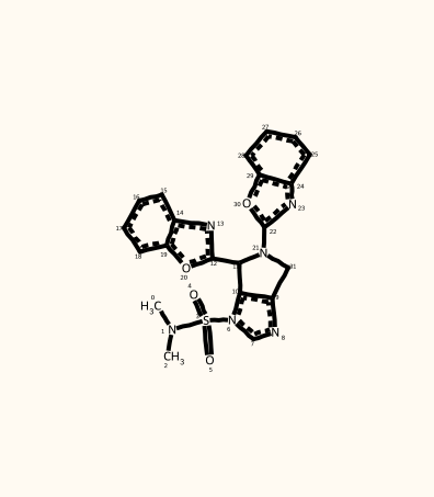 CN(C)S(=O)(=O)n1cnc2c1C(c1nc3ccccc3o1)N(c1nc3ccccc3o1)C2